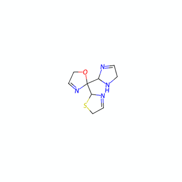 C1=NC(C2(C3N=CCS3)N=CCO2)NC1